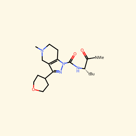 CNC(=O)[C@@H](NC(=O)n1nc(C2CCOCC2)c2c1CCN(C)C2)C(C)(C)C